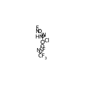 Fc1ccc(-c2ncc(-c3ccc(OCc4ncc(C(F)(F)F)cc4F)cc3Cl)[nH]2)cn1